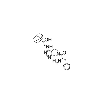 NC(Cc1ccccc1)C(=O)N1CCc2c(ncnc2NC[C@H](O)C23CC4CC(CC(C4)C2)C3)C1